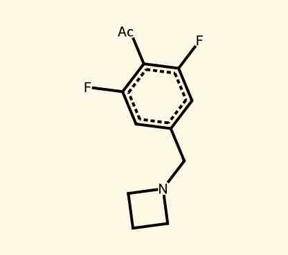 CC(=O)c1c(F)cc(CN2CCC2)cc1F